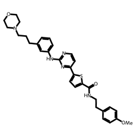 COc1ccc(CCNC(=O)c2ccc(-c3ccnc(Nc4cccc(CCCN5CCOCC5)c4)n3)s2)cc1